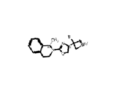 C[C@H]1c2ccccc2CCN1C1=N[C@@H](C2(F)CNC2)CO1